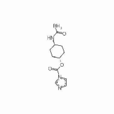 BC(=O)N[C@H]1CC[C@H](OC(=O)n2ccnc2)CC1